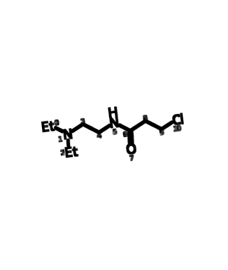 CCN(CC)CCNC(=O)CCCl